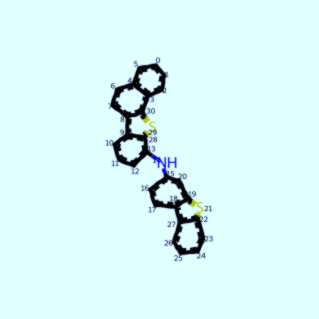 c1ccc2c(c1)ccc1c3cccc(Nc4ccc5c(c4)sc4ccccc45)c3sc21